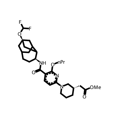 CCCOc1nc(N2CCC[C@@H](CC(=O)OC)C2)ccc1C(=O)N[C@H]1CCC2CC3C[C@@](OC(F)F)(C2)CC31